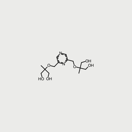 CC(CO)(CO)OCc1cncc(COC(C)(CO)CO)n1